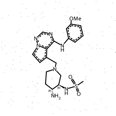 COc1cccc(Nc2ncnn3ccc(CN4CC[C@@H](N)[C@H](NS(C)(=O)=O)C4)c23)c1